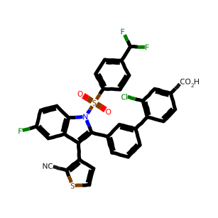 N#Cc1sccc1-c1c(-c2cccc(-c3ccc(C(=O)O)cc3Cl)c2)n(S(=O)(=O)c2ccc(C(F)F)cc2)c2ccc(F)cc12